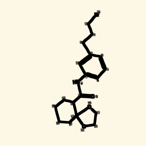 O=C(Nc1cccc(CCCBr)c1)C1CCCCC12OCCO2